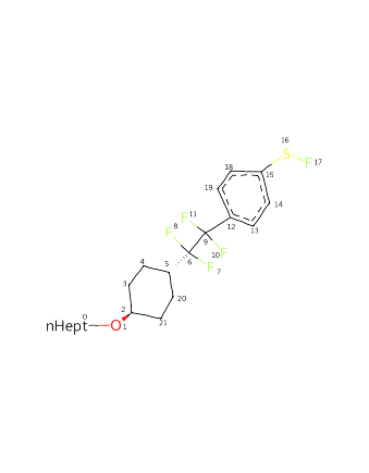 CCCCCCCO[C@H]1CC[C@H](C(F)(F)C(F)(F)c2ccc(SF)cc2)CC1